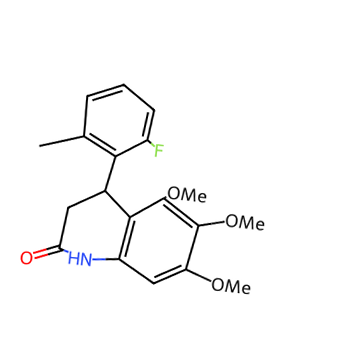 COc1cc2c(c(OC)c1OC)C(c1c(C)cccc1F)CC(=O)N2